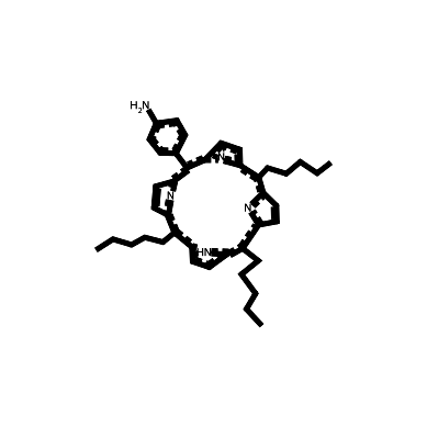 CCCCCc1c2nc(c(CCCCC)c3ccc([nH]3)c(-c3ccc(N)cc3)c3nc(c(CCCCC)c4ccc1[nH]4)C=C3)C=C2